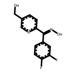 OCc1ccc(C(=NO)c2ccc(F)c(F)c2)nc1